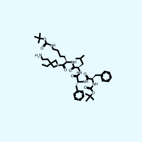 CCC1(CCN)CN(C(=O)[C@@H](CCCCNC(=O)OC(C)(C)C)NC(=O)[C@@H](CC(C)C)NC(=O)[C@@H](Cc2ccccc2)NC(=O)[C@@H](Cc2ccccc2)NC(=O)OC(C)(C)C)C1